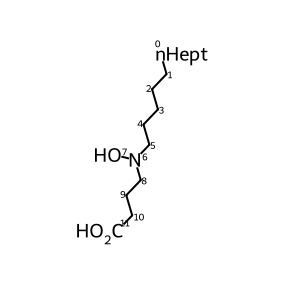 CCCCCCCCCCCCN(O)CCCC(=O)O